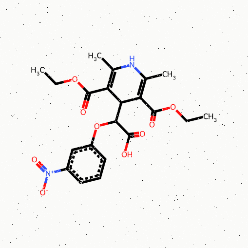 CCOC(=O)C1=C(C)NC(C)=C(C(=O)OCC)C1C(Oc1cccc([N+](=O)[O-])c1)C(=O)O